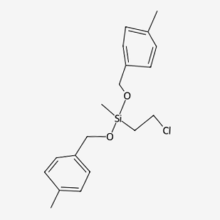 Cc1ccc(CO[Si](C)(CCCl)OCc2ccc(C)cc2)cc1